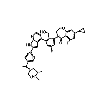 CCN(CC(C)NC)C(C)c1ccc(-c2cc3c(-c4cc(F)cc(N5CCOc6cc(C7CC7)cc(F)c6C5=O)c4CO)ccnc3[nH]2)nc1